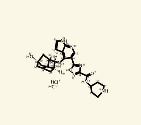 Cl.Cl.O=C(NC1CCNCC1)c1noc(-c2cnc3[nH]ccc3c2N[C@H]2[C@@H]3CC4C[C@H]2C[C@@](O)(C4)C3)n1